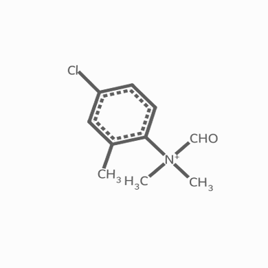 Cc1cc(Cl)ccc1[N+](C)(C)C=O